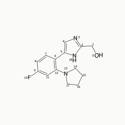 OCc1ncc(-c2ccc(F)cc2N2CCCC2)[nH]1